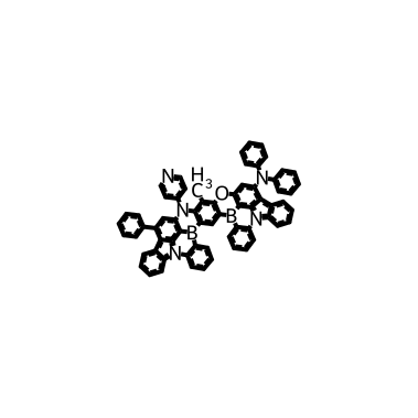 Cc1c2c(cc3c1N(c1ccncc1)c1cc(-c4ccccc4)c4c5ccccc5n5c4c1B3c1ccccc1-5)B1c3ccccc3-n3c4ccccc4c4c(N(c5ccccc5)c5ccccc5)cc(c1c43)O2